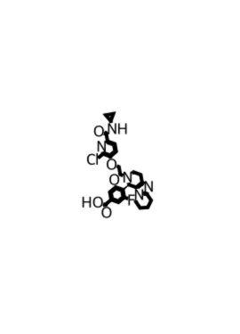 O=C(O)c1ccc([C@@H]2c3c(nc4n3CCCC4)CCN2C(=O)COc2ccc(C(=O)NC3CC3)nc2Cl)c(F)c1